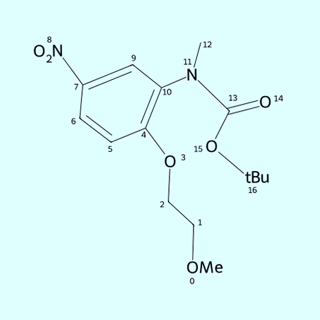 COCCOc1ccc([N+](=O)[O-])cc1N(C)C(=O)OC(C)(C)C